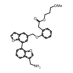 COCCCOC(=O)Cc1ccccc1OCc1cc(-c2cccc3c(CN)coc23)c2occc2c1